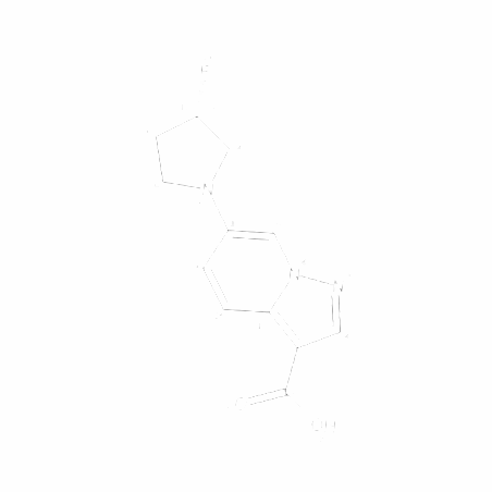 O=C(O)c1cnn2cc(N3CC[C@H](F)C3)ccc12